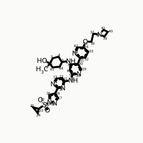 CC1(O)CCC(Nc2cc(Nc3ccnc(-c4cnn(S(=O)(=O)C5CC5)c4)n3)ncc2-c2ccc(OCCN3CCC3)cn2)CC1